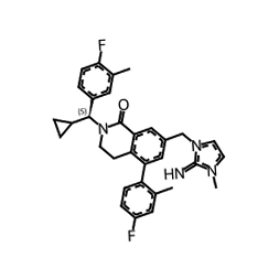 Cc1cc([C@H](C2CC2)N2CCc3c(cc(Cn4ccn(C)c4=N)cc3-c3ccc(F)cc3C)C2=O)ccc1F